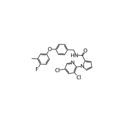 Cc1cc(Oc2ccc(CNC(=O)c3cccn3-c3ncc(Cl)cc3Cl)cc2)ccc1F